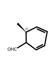 C[C@H]1C=CC=CC1C=O